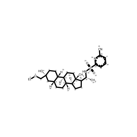 CCOC[C@@]1(O)CC[C@H]2[C@H](CC[C@@H]3[C@@H]2CC[C@]2(C)C([C@@H](C)NS(=O)(=O)c4cccc(C#N)n4)CC[C@@H]32)C1